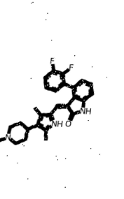 Cc1[nH]c(/C=C2\C(=O)Nc3cccc(-c4cccc(F)c4F)c32)c(C)c1C1CCN(C)CC1